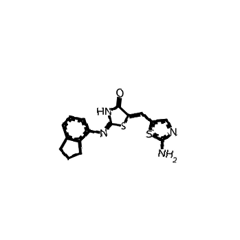 Nc1ncc(/C=C2\SC(=Nc3cccc4c3CCC4)NC2=O)s1